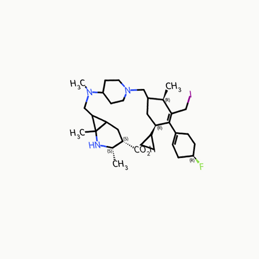 C[C@@H]1NC2(C)C(C[C@@H]1C(=O)O)C2CN(C)C1CCN(CC2C[C@H](C3CC3)C(C3=CC[C@H](F)CC3)=C(CI)[C@@H]2C)CC1